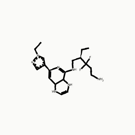 CC[C@H](CNC1=NC(c2cnn(CC)c2)=CC2NC=CNC12)C(F)(F)CCN